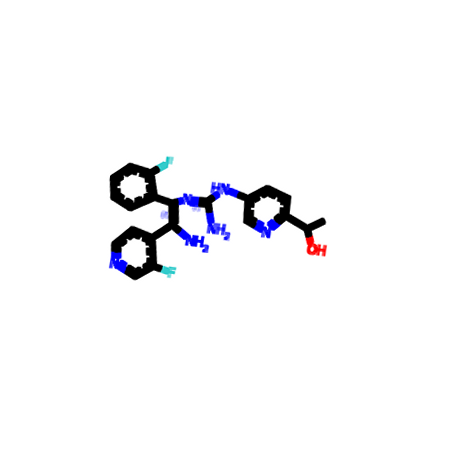 CC(O)c1ccc(N/C(N)=N/C(=C(\N)c2ccncc2F)c2ccccc2F)cn1